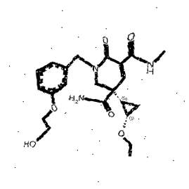 CCO[C@H]1C[C@H]1C1(C(N)=O)C=C(C(=O)NC)C(=O)N(Cc2cccc(OCCO)c2)C1